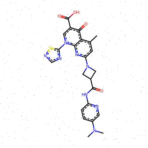 Cc1cc(N2CC(C(=O)Nc3ccc(N(C)C)cn3)C2)nc2c1c(=O)c(C(=O)O)cn2-c1ncns1